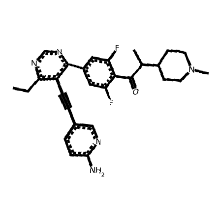 CCc1ncnc(-c2cc(F)c(C(=O)C(C)C3CCN(C)CC3)c(F)c2)c1C#Cc1ccc(N)nc1